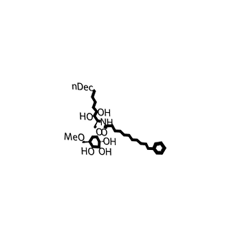 CCCCCCCCCCCCCC[C@@H](O)[C@@H](O)[C@H](CO[C@H]1C[C@H](COC)[C@H](O)[C@H](O)[C@H]1O)NC(=O)CCCCCCCCCCc1ccccc1